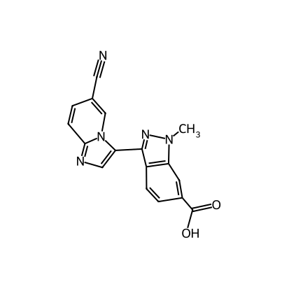 Cn1nc(-c2cnc3ccc(C#N)cn23)c2ccc(C(=O)O)cc21